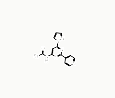 CCC(=O)Nc1cc(-n2cccn2)nc(-c2ccncc2)n1